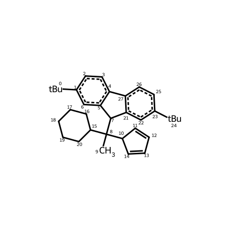 CC(C)(C)c1ccc2c(c1)C(C(C)(C1C=CC=C1)C1CCCCC1)c1cc(C(C)(C)C)ccc1-2